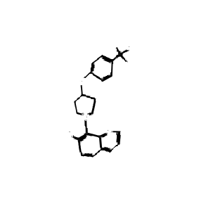 [O]c1ccc2cccnc2c1N1CCC(Nc2ccc(C(F)(F)F)cc2)CC1